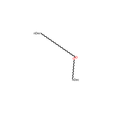 CCCCCCCCCCCCCCCCCCCCCCCCCCCCCCCCCCCCCCCC(=O)OCCCCCCCCCCCCCCCCCCCCCCCC